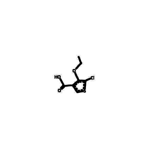 CCOc1c(C(=O)O)csc1Cl